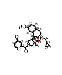 O=C(c1cc(=O)cco1)N1C[C@H]2CC34CCC1C2C31CCN(CC2CC2)C4Cc2ccc(O)cc21